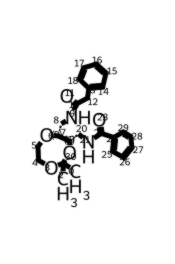 CC1(C)OCCO[C@H](CNC(=O)Cc2ccccc2)[C@H](CNC(=O)c2ccccc2)O1